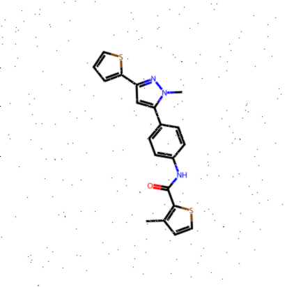 Cc1ccsc1C(=O)Nc1ccc(-c2cc(-c3cccs3)nn2C)cc1